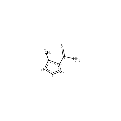 Cc1ncsc1C(N)=S